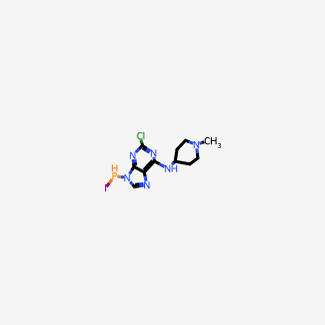 CN1CCC(Nc2nc(Cl)nc3c2ncn3PI)CC1